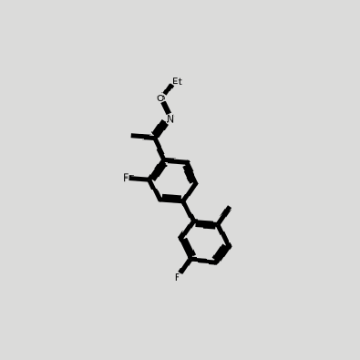 CCO/N=C(\C)c1ccc(-c2cc(F)ccc2C)cc1F